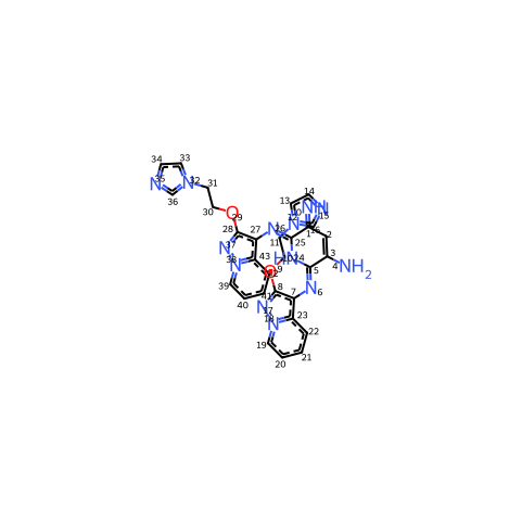 N=C1C=C(N)/C(=N/c2c(OCCn3ccnc3)nn3ccccc23)N/C1=N\c1c(OCCn2ccnc2)nn2ccccc12